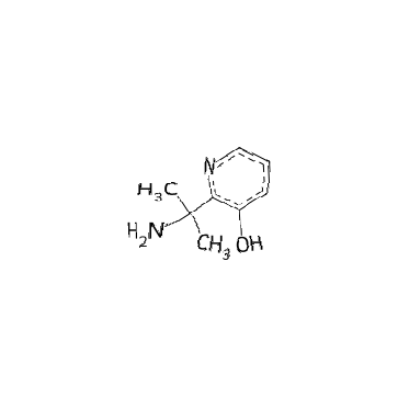 CC(C)(N)c1ncccc1O